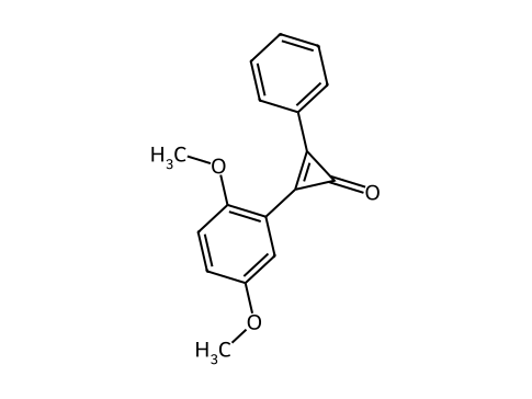 COc1ccc(OC)c(-c2c(-c3ccccc3)c2=O)c1